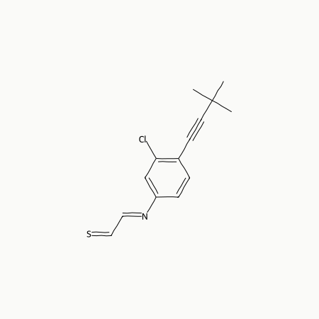 CC(C)(C)C#Cc1ccc(N=CC=S)cc1Cl